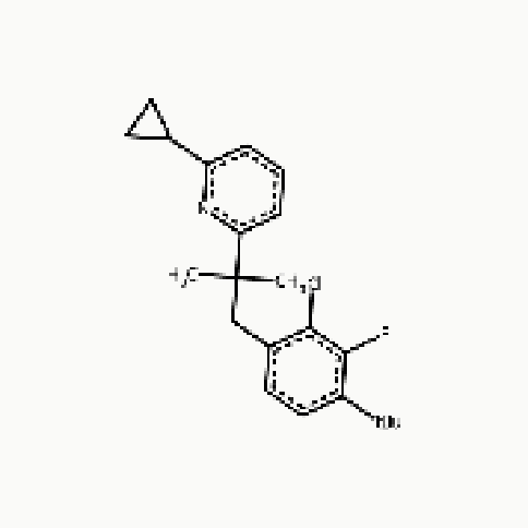 CC(C)(C)c1ccc(CC(C)(C)c2cccc(C3CC3)n2)c(Cl)c1F